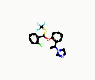 C=C(c1ccccc1OC(SC(F)(F)F)c1ccccc1Cl)n1ccnc1